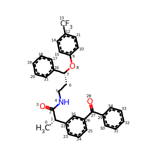 C[C@H](C(=O)NCC[C@@H](Oc1ccc(C(F)(F)F)cc1)c1ccccc1)c1cccc(C(=O)c2ccccc2)c1